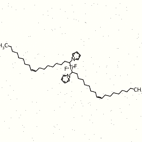 CCCCCCCC/C=C\CCCCCCC[CH](n1cccc1)[Ti]([F])([F])[CH](CCCCCCC/C=C\CCCCCCCC)n1cccc1